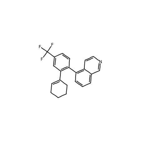 FC(F)(F)c1ccc(-c2cccc3cnccc23)c(C2=CCCCC2)c1